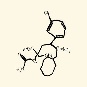 CC(C)(CC(c1cccc(Cl)c1)[C@H](N)C1CCCCC1)OC(N)=O